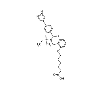 [2H]C(C)(CC)N(Cc1ccccc1OCCCCCC(=O)O)C(=O)c1ccc(-c2cn[nH]c2)cc1